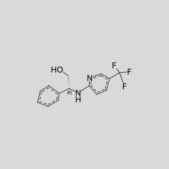 OC[C@H](Nc1ccc(C(F)(F)F)cn1)c1ccccc1